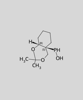 CC1(C)OC[C@@]2(PO)CCCC[C@H]2O1